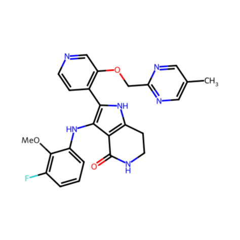 COc1c(F)cccc1Nc1c(-c2ccncc2OCc2ncc(C)cn2)[nH]c2c1C(=O)NCC2